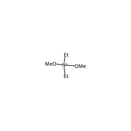 CC[N+](CC)(OC)OC